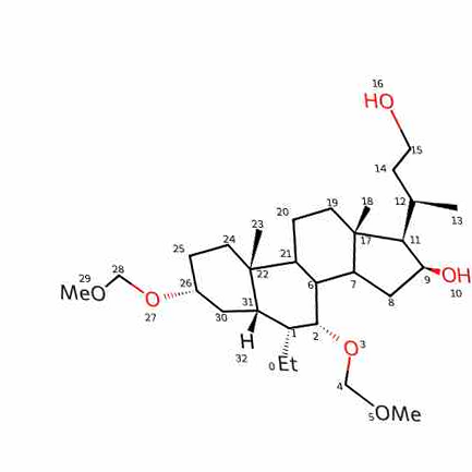 CC[C@H]1[C@@H](OCOC)C2C3C[C@H](O)[C@H]([C@H](C)CCO)[C@@]3(C)CCC2[C@@]2(C)CC[C@@H](OCOC)C[C@@H]12